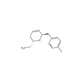 CC[C@@H]1CC=C[C@@H](Cc2ccc(I)cc2)O1